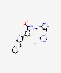 CN1CCN(Cc2cncc(NC(=O)n3nc(C(=O)O)c4cc(-c5cncc(CN6CCCCC6)c5)ccc43)c2)CC1